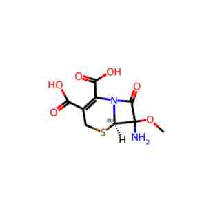 COC1(N)C(=O)N2C(C(=O)O)=C(C(=O)O)CS[C@@H]21